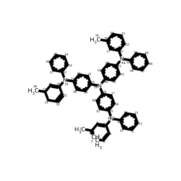 C=C(C)/C=C(\C=C/C)N(c1ccccc1)c1ccc(N(c2ccc(N(C3=CC(C)CC#C3)c3ccccc3)cc2)c2ccc(N(c3ccccc3)c3cccc(C)c3)cc2)cc1